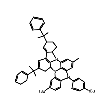 Cc1cc2c3c(c1)N1C4=C(C=C(C(C)(C)C5=CC=CCC5)CC4B3c3cc(C(C)(C)C)ccc3N2c2ccc(C(C)(C)C)cc2)C2=CC(C(C)(C)c3ccccc3)CCC21